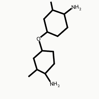 CC1CC(OC2CCC(N)C(C)C2)CCC1N